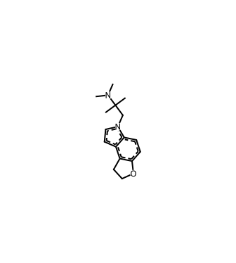 CN(C)C(C)(C)Cn1ccc2c3c(ccc21)OCC3